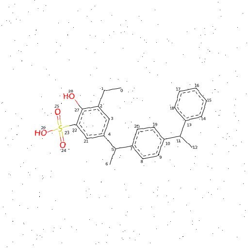 CCc1cc(C(C)c2ccc(C(C)c3ccccc3)cc2)cc(S(=O)(=O)O)c1O